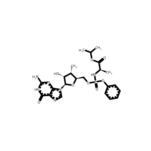 CC(C)OC(=O)[C@@H](C)NP(=O)(OC[C@H]1O[C@@H](n2cnc3c(=O)[nH]c(N)nc32)[C@H](O)[C@@H]1C)Oc1ccccc1